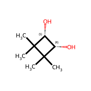 CC1(C)[C@H](O)[C@H](O)C1(C)C